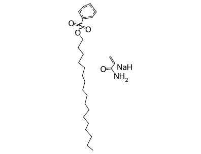 C=CC(N)=O.CCCCCCCCCCCCCCCCCOS(=O)(=O)c1ccccc1.[NaH]